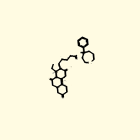 C[C@H](CCC(=O)OC1(c2ccccc2)CCCNCC1)[C@H]1CC[C@H]2[C@@H]3C(=O)C[C@@H]4CC(=O)CC[C@]4(C)[C@H]3CC(=O)[C@]12C